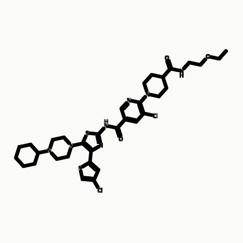 CCOCCNC(=O)C1CCN(c2ncc(C(=O)Nc3nc(-c4cc(Cl)cs4)c(N4CCN(C5CCCCC5)CC4)s3)cc2Cl)CC1